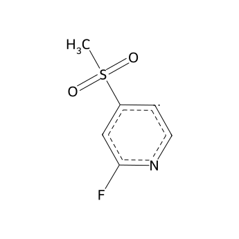 CS(=O)(=O)c1[c]cnc(F)c1